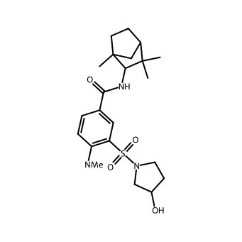 CNc1ccc(C(=O)NC2C3(C)CCC(C3)C2(C)C)cc1S(=O)(=O)N1CCC(O)C1